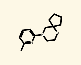 Cc1cccc(N2CCOC3(CCCC3)C2)n1